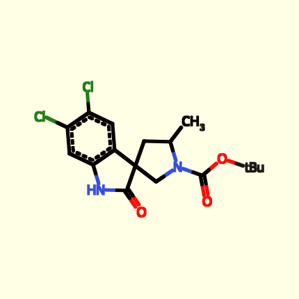 CC1CC2(CN1C(=O)OC(C)(C)C)C(=O)Nc1cc(Cl)c(Cl)cc12